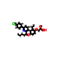 CCCCC(Oc1ccc(OCC(=O)O)c(CC)c1)c1cccc(-c2ccc(Cl)cc2)n1